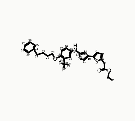 CCOC(=O)Cc1ccc(-c2csc(Nc3ccc(OCCCCc4ccccc4)c(C(F)(F)F)c3)n2)s1